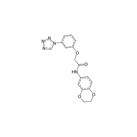 O=C(COc1cccc(-n2cnnn2)c1)Nc1ccc2c(c1)OCCO2